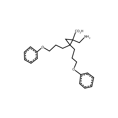 NCC1(C(=O)O)CC1(CCCOc1ccccc1)CCCOc1ccccc1